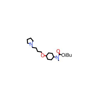 CC(C)COC(=O)N(C)C1CCC(OCCCCN2CCCC2)CC1